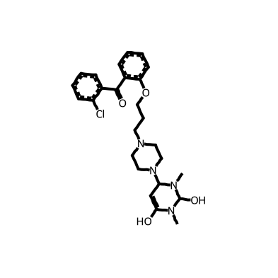 CN1C(O)=CC(N2CCN(CCCOc3ccccc3C(=O)c3ccccc3Cl)CC2)N(C)C1O